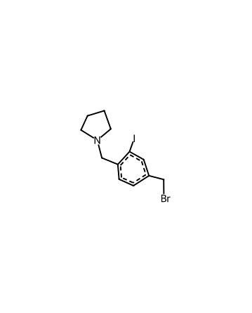 BrCc1ccc(CN2CCCC2)c(I)c1